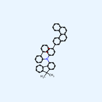 CC1(C)c2ccccc2-c2c(N(c3ccc(-c4ccc5c(ccc6ccc7ccccc7c65)c4)cc3)c3ccccc3-c3ccccc3)cccc21